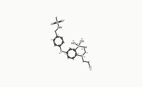 CS(=O)(=O)NCc1ccc(Oc2ccc3c(c2)S(O)(O)NCN3CCCl)cc1